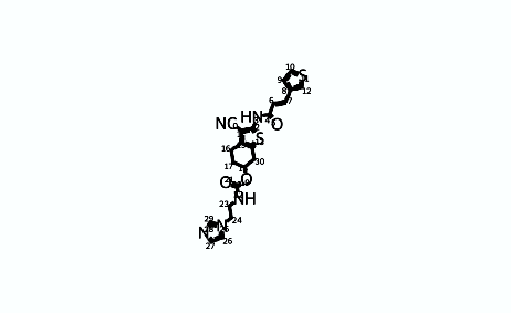 N#Cc1c(NC(=O)C=Cc2ccsc2)sc2c1CCC(OC(=O)NCCn1ccnc1)C2